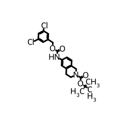 CC(C)(C)OC(=O)N1CCc2cc(NC(=O)OCc3cc(Cl)cc(Cl)c3)ccc2C1